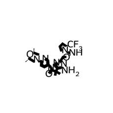 C[C@@H]1CN(c2ccc(N3C(=O)C(C)(C)c4c(N)nc(COC(=N)N5CCC[C@@H]5C(F)(F)F)nc43)cn2)C[C@H](C)O1